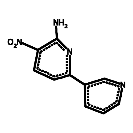 Nc1nc(-c2cccnc2)ccc1[N+](=O)[O-]